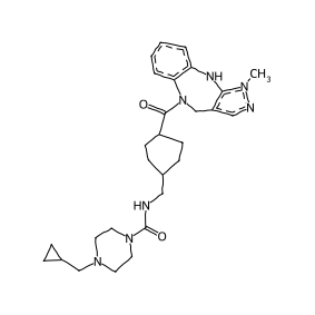 Cn1ncc2c1Nc1ccccc1N(C(=O)C1CCC(CNC(=O)N3CCN(CC4CC4)CC3)CC1)C2